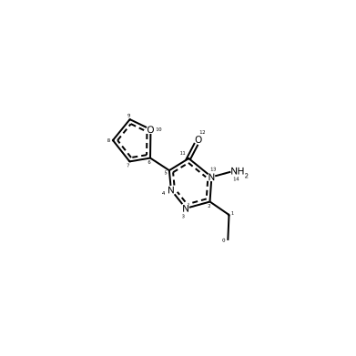 CCc1nnc(-c2ccco2)c(=O)n1N